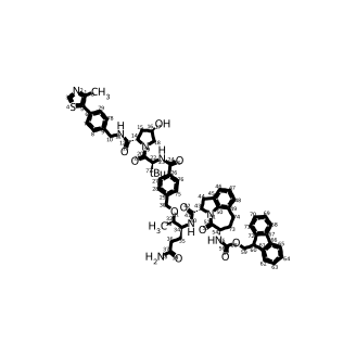 Cc1ncsc1-c1ccc(CNC(=O)[C@@H]2C[C@@H](O)CN2C(=O)[C@@H](NC(=O)c2ccc(CO[C@H](C)[C@H](CCC(N)=O)NC(=O)[C@@H]3Cc4cccc5c4N3C(=O)[C@@H](NC(=O)OCC3c4ccccc4-c4ccccc43)CC5)cc2)C(C)(C)C)cc1